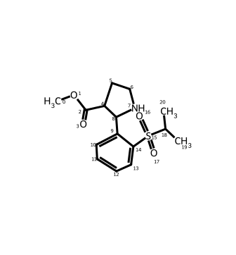 COC(=O)C1CCNC1c1ccccc1S(=O)(=O)C(C)C